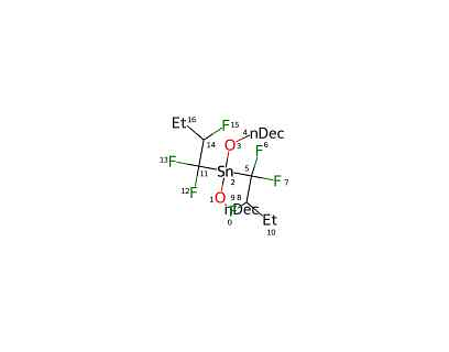 CCCCCCCCCC[O][Sn]([O]CCCCCCCCCC)([C](F)(F)C(F)CC)[C](F)(F)C(F)CC